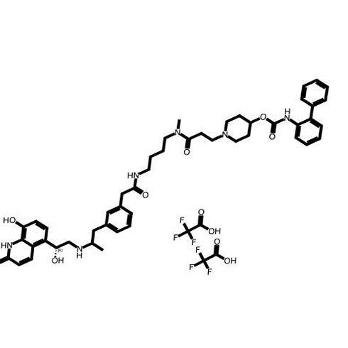 CC(Cc1cccc(CC(=O)NCCCCN(C)C(=O)CCN2CCC(OC(=O)Nc3ccccc3-c3ccccc3)CC2)c1)NC[C@H](O)c1ccc(O)c2[nH]c(=O)ccc12.O=C(O)C(F)(F)F.O=C(O)C(F)(F)F